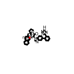 CCCCCCC(C(=O)N1CCC[C@@]1(Cc1ccccc1)C(=O)OCc1ccccc1)n1cnc2cc(-c3ccccc3-c3nn[nH]n3)ccc21